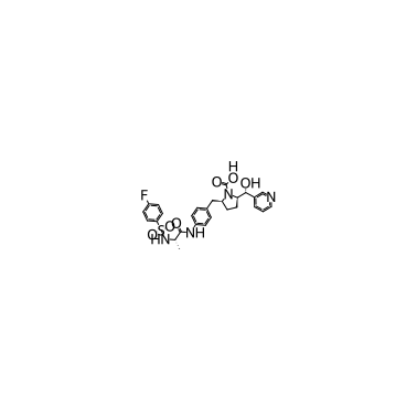 C[C@H](NS(=O)(=O)c1ccc(F)cc1)C(=O)Nc1ccc(C[C@@H]2CC[C@H]([C@H](O)c3cccnc3)N2C(=O)O)cc1